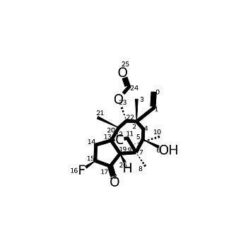 C=C[C@]1(C)C[C@@H](O)[C@]2(C)[C@H](C)CC[C@]3(C[C@H](F)C(=O)[C@H]32)[C@@H](C)[C@@H]1OC=O